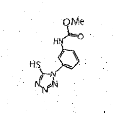 COC(=O)Nc1cccc(-n2nnnc2S)c1